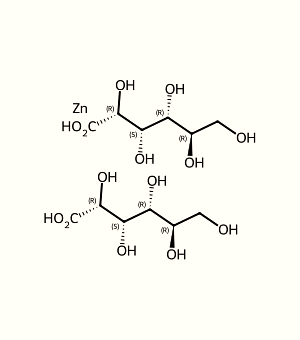 O=C(O)[C@H](O)[C@@H](O)[C@H](O)[C@H](O)CO.O=C(O)[C@H](O)[C@@H](O)[C@H](O)[C@H](O)CO.[Zn]